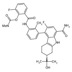 CNC(=O)Oc1c(F)cccc1C(=O)Nc1cccc(-c2c(F)cc(C(N)=O)c3[nH]c4c(c23)CC[C@H](C(C)(C)O)C4)c1C